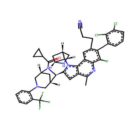 Cc1nc2c(F)c(-c3cccc(Cl)c3Cl)c(CCC#N)cc2c2c1cc([C@H]1[C@H]3C[C@H](CN(c4ccccc4C(F)(F)F)C3)N1C(=O)C1CC1)n2[C@H]1[C@H]2CN[C@@H]1C2